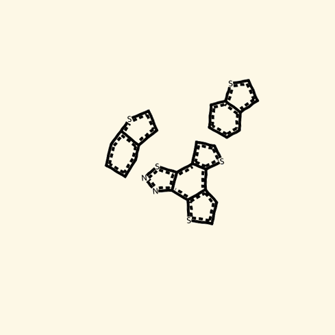 c1cc2c(s1)c1ccsc1c1nnsc21.c1ccc2sccc2c1.c1ccc2sccc2c1